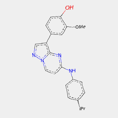 COc1cc(-c2cnn3ccc(Nc4ccc(C(C)C)cc4)nc23)ccc1O